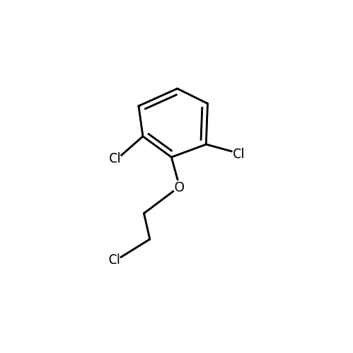 ClCCOc1c(Cl)cccc1Cl